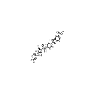 COC(=O)c1ccc2nc(-c3ccc(NC(=O)c4nc(NC(=O)OC(C)(C)C)cn4C)cc3)[nH]c2c1